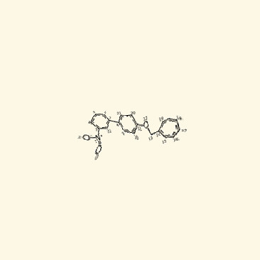 O=[N+]([O-])c1[c]ccc(-c2ccc(OCc3ccccc3)cc2)c1